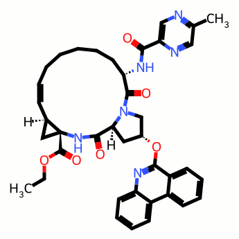 CCOC(=O)[C@@]12C[C@H]1/C=C\CCCCC[C@H](NC(=O)c1cnc(C)cn1)C(=O)N1C[C@H](Oc3nc4ccccc4c4ccccc34)C[C@H]1C(=O)N2